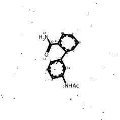 CC(=O)Nc1cccc(-c2cc[c]cc2C(N)=O)c1